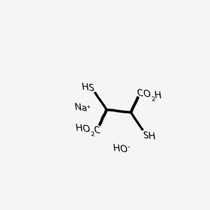 O=C(O)C(S)C(S)C(=O)O.[Na+].[OH-]